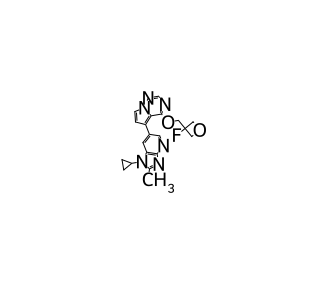 Cc1nc2ncc(-c3ccn4ncnc(OCC5(F)COC5)c34)cc2n1C1CC1